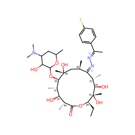 CC[C@H]1OC(=O)[C@H](C)[C@@H](O)[C@H](C)[C@@H](OC2OC(C)CC(N(C)C)C2O)[C@](C)(O)C[C@@H](C)/C(=N\N=C(/C)c2ccc(F)cc2)[C@H](C)[C@@H](O)[C@]1(C)O